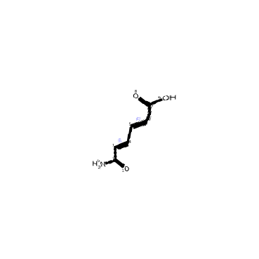 NC(=O)/C=C/C=C/C(=O)O